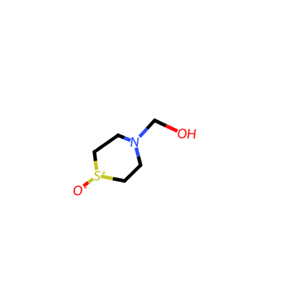 [O-][S+]1CCN(CO)CC1